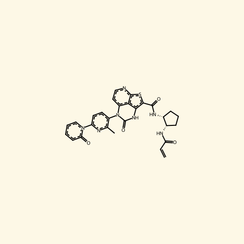 C=CC(=O)N[C@H]1CCC[C@H]1NC(=O)c1sc2nccc3c2c1NC(=O)N3c1ccc(-n2ccccc2=O)nc1C